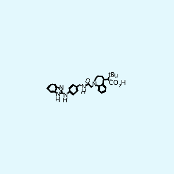 CC(C)(C)C(C(=O)O)C1CCCN(CC(=O)NCc2ccc(Nc3nc4ccccc4[nH]3)cc2)c2ccccc21